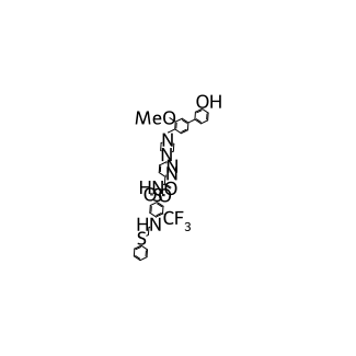 COc1cc(-c2cccc(O)c2)ccc1CN1CCN(c2ccc(C(=O)NS(=O)(=O)c3ccc(NCCSc4ccccc4)c(C(F)(F)F)c3)nn2)CC1